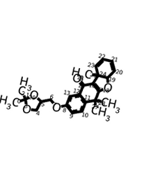 CC1(C)OCC(COc2ccc3c(c2)C(=O)C2=C(OC4C=CC=CC24C)C3(C)C)O1